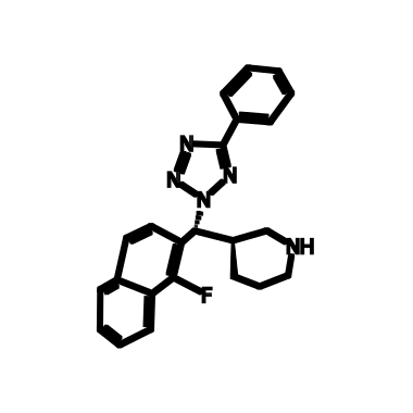 Fc1c([C@@H]([C@@H]2CCCNC2)n2nnc(-c3ccccc3)n2)ccc2ccccc12